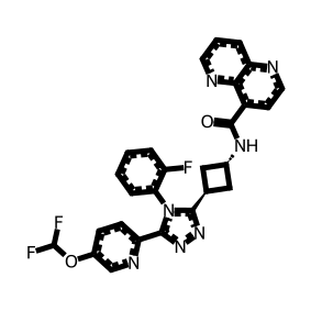 O=C(N[C@H]1C[C@H](c2nnc(-c3ccc(OC(F)F)cn3)n2-c2ccccc2F)C1)c1ccnc2cccnc12